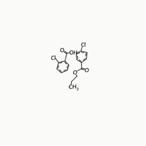 CCCOC(=O)c1ccc(Cl)cc1.O=C(O)c1ccccc1Cl